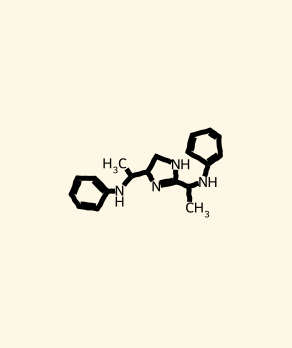 CC(Nc1ccccc1)C1=NC(C(C)Nc2ccccc2)CN1